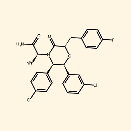 CCC[C@@H](C(N)=O)N1C(=O)[C@H](Cc2ccc(F)cc2)O[C@@H](c2cccc(Cl)c2)[C@H]1c1ccc(Cl)cc1